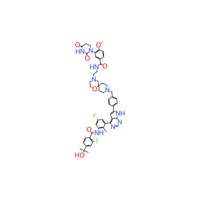 COc1ccc(C(=O)NCCN2CCOC3(CCN(Cc4ccc(-c5cc6c(-c7cc(F)cc(NC(=O)c8ccc(C(C)(C)O)cc8F)c7C)ncnc6[nH]5)cc4)CC3)C2)cc1N1CCC(=O)NC1=O